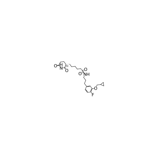 O=C1CC[C@H](CCCCCS(=O)(=O)NCCCc2ccc(F)c(OCC3CC3)c2)C(=O)N1